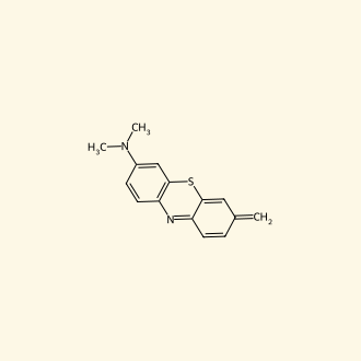 C=c1ccc2c(c1)Sc1cc(N(C)C)ccc1N=2